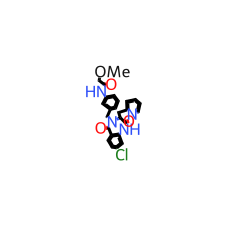 COCC(=O)Nc1cccc(CN2C(=O)c3ccc(Cl)cc3NC(=O)C2Cc2ccccn2)c1